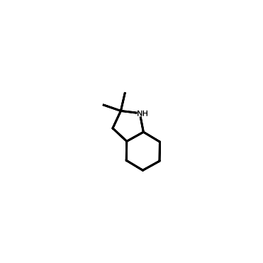 CC1(C)CC2CCCCC2N1